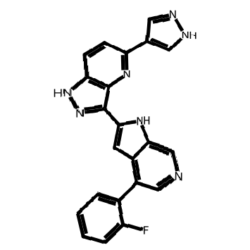 Fc1ccccc1-c1cncc2[nH]c(-c3n[nH]c4ccc(-c5cn[nH]c5)nc34)cc12